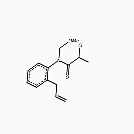 C=CCc1ccccc1N(COC)C(=O)C(C)Cl